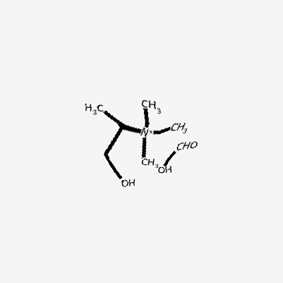 CC(CO)[N+](C)(C)C.O=CO